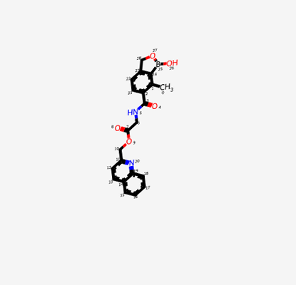 Cc1c(C(=O)NCC(=O)OCc2ccc3ccccc3n2)ccc2c1B(O)OC2